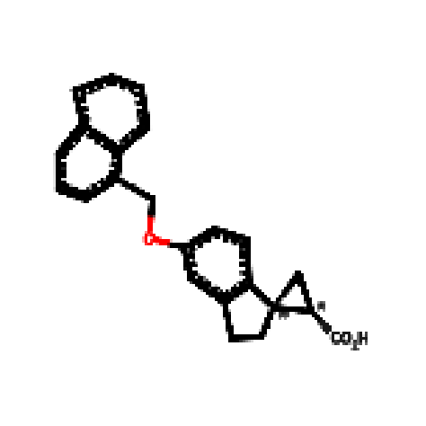 O=C(O)[C@@H]1C[C@]12CCc1cc(OCc3cccc4ccccc34)ccc12